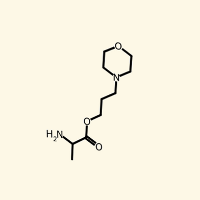 CC(N)C(=O)OCCCN1CCOCC1